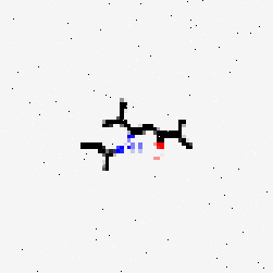 CCC(C)N/C(=C\C(=O)C(C)C)C(C)C